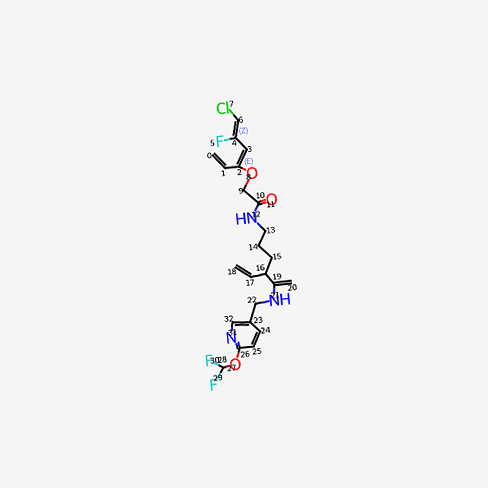 C=C/C(=C\C(F)=C\Cl)OCC(=O)NCCCC(C=C)C(=C)NCc1ccc(OC(F)F)nc1